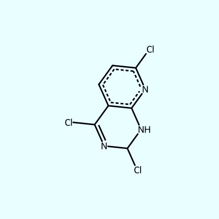 ClC1=NC(Cl)Nc2nc(Cl)ccc21